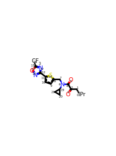 CC(C)CC(=O)C(=O)N(Cc1ccc(-c2noc(C(F)(F)F)n2)s1)C1CC1